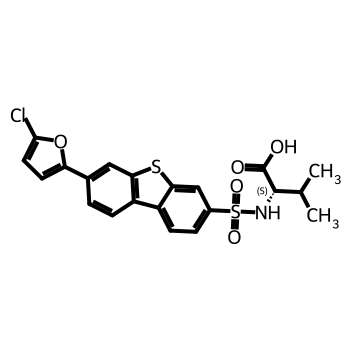 CC(C)[C@H](NS(=O)(=O)c1ccc2c(c1)sc1cc(-c3ccc(Cl)o3)ccc12)C(=O)O